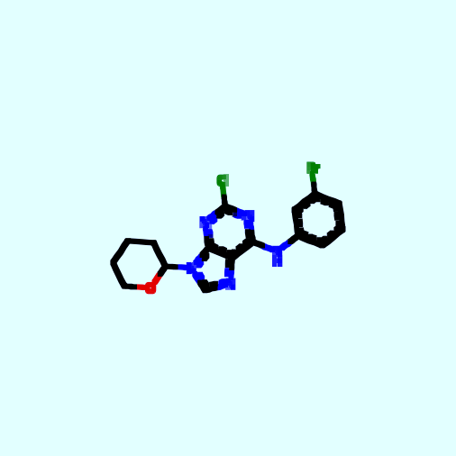 Clc1nc(Nc2cccc(Br)c2)c2ncn(C3CCCCO3)c2n1